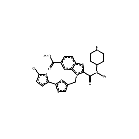 COC(=O)c1ccc2nc(C(=O)N(C(C)C)C3CCNCC3)n(Cc3cnc(-c4ccc(Cl)s4)s3)c2c1